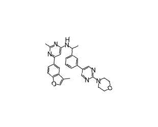 Cc1nc(NC(C)c2cccc(-c3cnc(N4CCOCC4)nc3)c2)cc(-c2ccc3occ(C)c3c2)n1